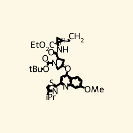 C=C[C@@H]1C[C@]1(NC(=O)C1C[C@@H](Oc2cc(-c3nc(C(C)C)cs3)nc3cc(OC)ccc23)CN1C(=O)OC(C)(C)C)C(=O)OCC